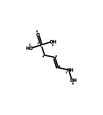 O=P(O)(O)CC=CNO